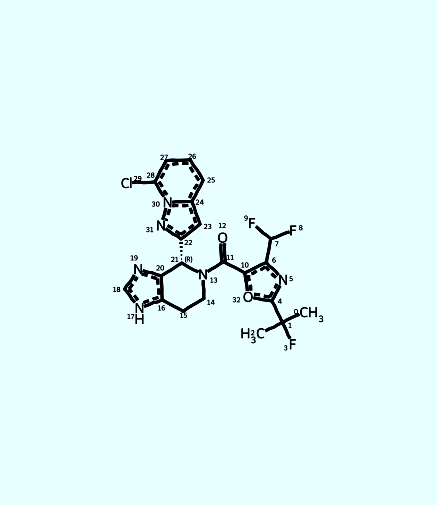 CC(C)(F)c1nc(C(F)F)c(C(=O)N2CCc3[nH]cnc3[C@@H]2c2cc3cccc(Cl)n3n2)o1